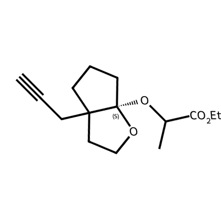 C#CCC12CCC[C@@]1(OC(C)C(=O)OCC)OCC2